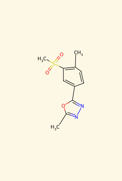 Cc1nnc(-c2ccc(C)c(S(C)(=O)=O)c2)o1